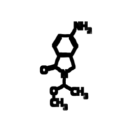 COC(C)N1Cc2cc(N)ccc2C1=O